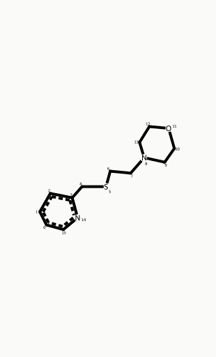 c1ccc(CSCCN2CCOCC2)nc1